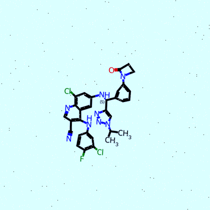 CC(C)n1cc([C@@H](Nc2cc(Cl)c3ncc(C#N)c(Nc4ccc(F)c(Cl)c4)c3c2)c2cccc(N3CCC3=O)c2)nn1